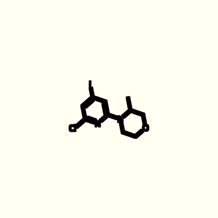 CC1COCCN1c1cc(I)cc(Cl)n1